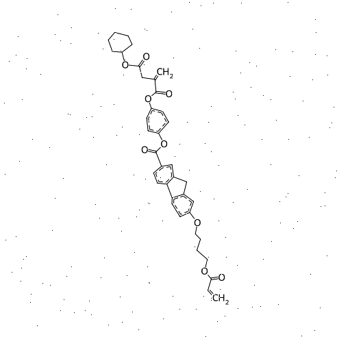 C=CC(=O)OCCCCOc1ccc2c(c1)Cc1cc(C(=O)Oc3ccc(OC(=O)C(=C)CC(=O)OC4CCCCC4)cc3)ccc1-2